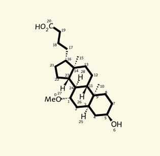 CO[C@H]1C[C@@H]2C[C@H](O)CC[C@]2(C)[C@H]2CC[C@]3(C)[C@@H](CCCC(=O)O)CC[C@H]3[C@H]12